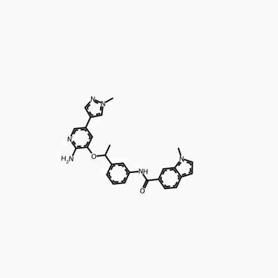 CC(Oc1cc(-c2cnn(C)c2)cnc1N)c1cccc(NC(=O)c2ccc3ccn(C)c3c2)c1